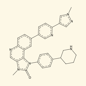 Cn1cc(-c2ccc(-c3ccc4ncc5c(c4c3)n(-c3ccc(C4CCCNC4)cc3)c(=O)n5C)cn2)cn1